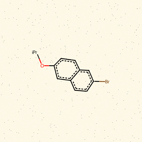 CC(C)Oc1ccc2cc(Br)ccc2c1